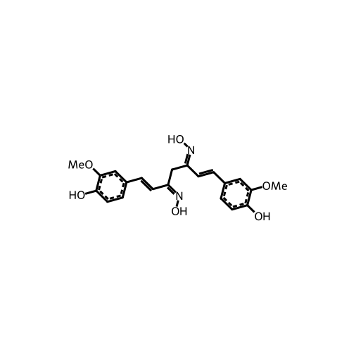 COc1cc(/C=C/C(CC(/C=C/c2ccc(O)c(OC)c2)=N\O)=N\O)ccc1O